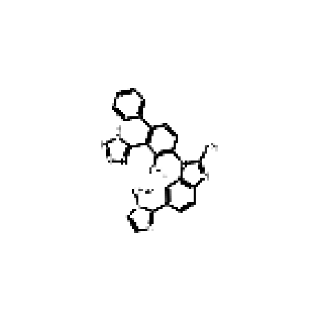 CCCCCCn1ccnc1-c1ccc2nc(CCC)n(-c3ccc(-c4ccccc4)c(-c4nnn[nH]4)c3C)c2c1